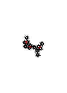 c1ccc(-c2ccc(N(c3ccc(-c4ccc(N(c5ccc(-c6ccccc6)cc5)c5c(-c6ccccc6)cccc5-c5ccccc5)cc4)cc3)c3ccc(-c4ccccc4)cc3-c3ccccc3)cc2)cc1